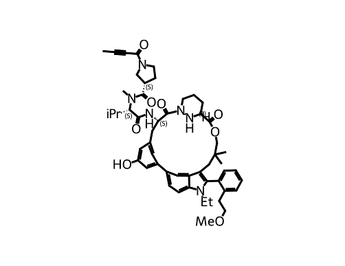 CC#CC(=O)N1CC[C@H](C(=O)N(C)[C@H](C(=O)N[C@H]2Cc3cc(O)cc(c3)-c3ccc4c(c3)c(c(-c3ccccc3CCOC)n4CC)CC(C)(C)COC(=O)[C@@H]3CCCN(N3)C2=O)C(C)C)C1